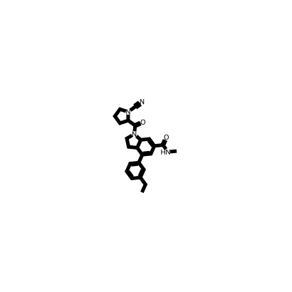 CCc1cccc(C2=CC(C(=O)NC)=CC3C2CCN3C(=O)C2CCCN2C#N)c1